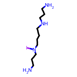 NCCCNCCCCN(I)CCCN